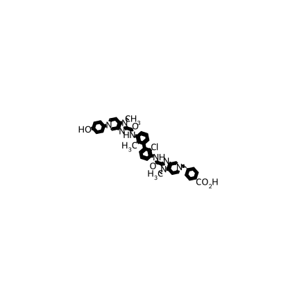 Cc1c(NC(=O)c2nc3c(n2C)CCN(C2CCC(O)CC2)C3)cccc1-c1cccc(NC(=O)c2nc3c(n2C)CCN(C[C@H]2CC[C@@H](C(=O)O)CC2)C3)c1Cl